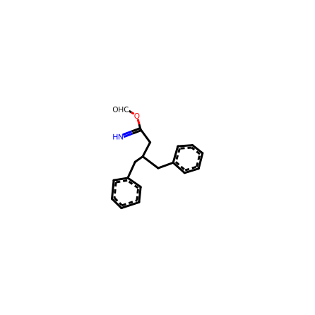 N=C(CC(Cc1ccccc1)Cc1ccccc1)OC=O